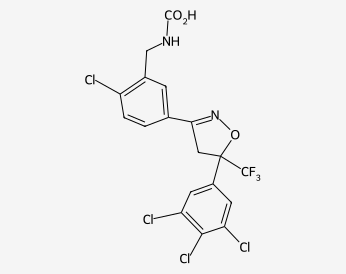 O=C(O)NCc1cc(C2=NOC(c3cc(Cl)c(Cl)c(Cl)c3)(C(F)(F)F)C2)ccc1Cl